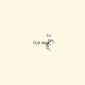 B[SiH3].[AlH3].[Cu].[MgH2]